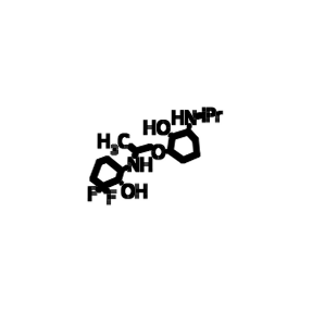 CC(C)N[C@H]1CCC[C@@H](OCC(C)N[C@@H]2CCCC(F)(F)[C@H]2O)[C@H]1O